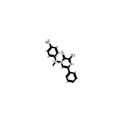 CCc1nc(-c2ccccc2)cn(N(C)c2ccc(C#N)cc2)c1=O